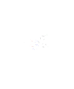 CC(C)(C)OC(=O)c1nc(-c2ccc(Cl)cc2)c(-c2ccc(Cl)cc2)nc1C(=O)NC1CCCCC1O